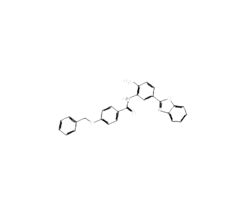 Cc1ccc(-c2nc3ccccc3o2)cc1NC(=O)c1ccc(OCc2ccccc2)cc1